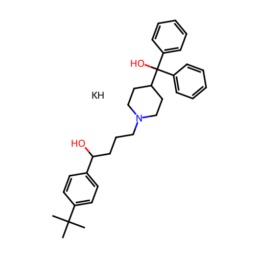 CC(C)(C)c1ccc(C(O)CCCN2CCC(C(O)(c3ccccc3)c3ccccc3)CC2)cc1.[KH]